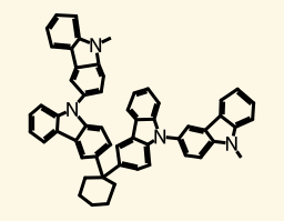 Cn1c2ccccc2c2cc(-n3c4ccccc4c4cc(C5(c6ccc7c(c6)c6ccccc6n7-c6ccc7c(c6)c6ccccc6n7C)CCCCC5)ccc43)ccc21